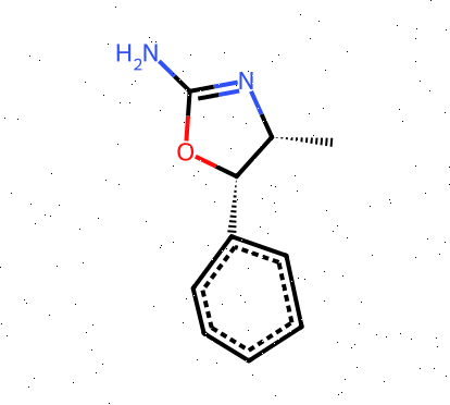 C[C@H]1N=C(N)O[C@H]1c1ccccc1